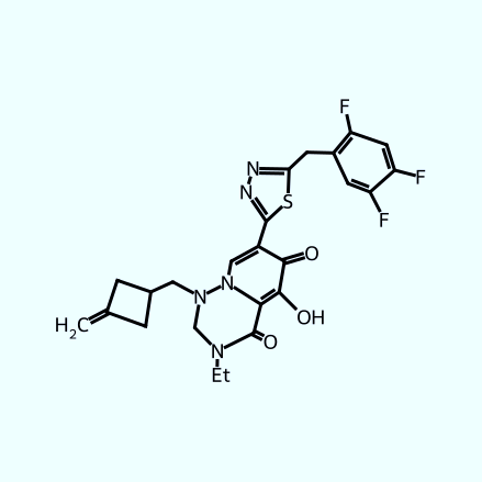 C=C1CC(CN2CN(CC)C(=O)c3c(O)c(=O)c(-c4nnc(Cc5cc(F)c(F)cc5F)s4)cn32)C1